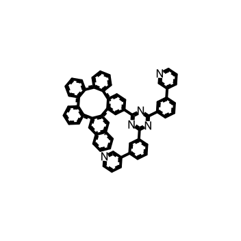 c1cncc(-c2cccc(-c3nc(-c4cccc(-c5cccnc5)c4)nc(-c4ccc5c6ccccc6c6ccccc6c6ccccc6c6cc7ccccc7cc6c5c4)n3)c2)c1